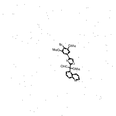 COc1cc(-c2coc(C(C=O)(OC)c3cccc4ncccc34)n2)cc(OC)c1Br